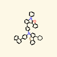 c1ccc(-n2c3cccc(-c4ccc(N(c5ccc(-c6cccc7ccccc67)cc5)c5ccc(C6CCCCC6)c6c5sc5ccccc56)cc4)c3c3c4ccccc4oc32)cc1